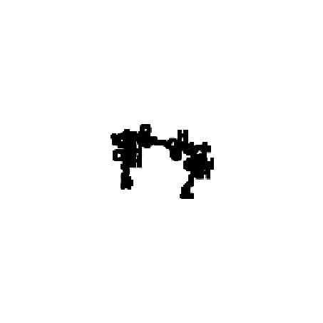 CN(C)CCCNC(=O)NC1CC(C)(C)CC(C)(CNC(=O)OCCCCOC(=O)NCC2(C)CC(NC(=O)NCCCN(C)C)CC(C)(C)C2)C1